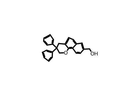 OCc1ccc2c3c(ccc2c1)CC(c1ccccc1)(c1ccccc1)CO3